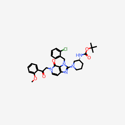 COc1ccccc1C(=O)Cn1ccc2nc(N3CCC[C@@H](NC(=O)OC(C)(C)C)C3)n(Cc3ccccc3Cl)c2c1=O